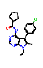 CCn1c(C)c(-c2ccc(Cl)cc2)c2c(NC(=O)C3CCCC3)ncnc21